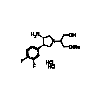 COCC(CO)N1C[C@@H](N)[C@H](c2ccc(F)c(F)c2)C1.Cl.Cl